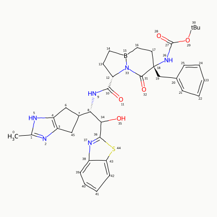 Cc1nc2c([nH]1)CC([C@H](NC(=O)[C@@H]1CCB3CC[C@](Cc4ccccc4)(NC(=O)OC(C)(C)C)C(=O)N31)C(O)c1nc3ccccc3s1)C2